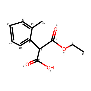 CCOC(=O)C(C(=O)O)c1ccccc1C